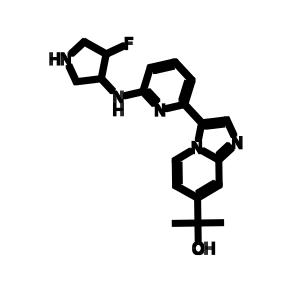 CC(C)(O)c1ccn2c(-c3cccc(NC4CNCC4F)n3)cnc2c1